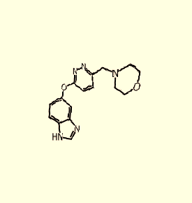 c1nc2cc(Oc3ccc(CN4CCOCC4)nn3)ccc2[nH]1